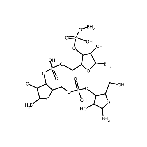 BOP(=O)(O)OC1C(COP(=O)(O)OC2C(COP(=O)(O)OC3C(CO)OC(B)C3O)OC(B)C2O)OC(B)C1O